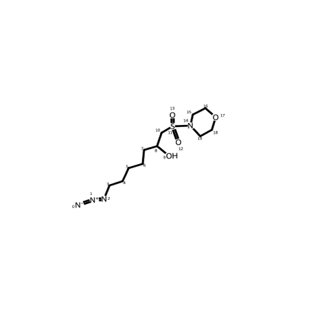 [N-]=[N+]=NCCCCCC(O)CS(=O)(=O)N1CCOCC1